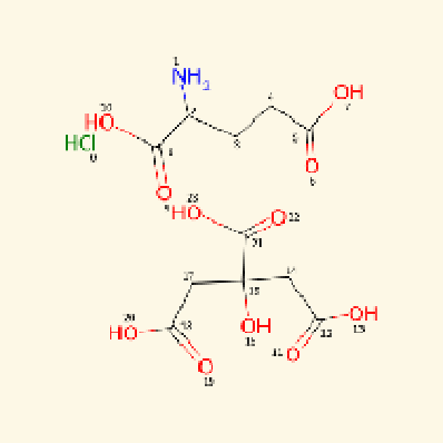 Cl.NC(CCC(=O)O)C(=O)O.O=C(O)CC(O)(CC(=O)O)C(=O)O